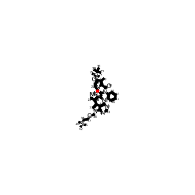 Cc1ccn2nc([C@H](C)Nc3ncnc4c3c(-c3cnn(CCCO[Si](C)(C)C(C)(C)C)c3)cn4COCC[Si](C)(C)C)n(-c3ccccc3)c(=O)c12